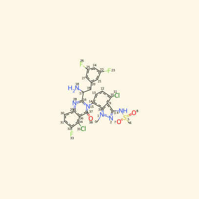 Cn1nc(NS(C)(=O)=O)c2c(Cl)ccc(-n3c(C(N)Cc4cc(F)cc(F)c4)nc4ccc(F)c(Cl)c4c3=O)c21